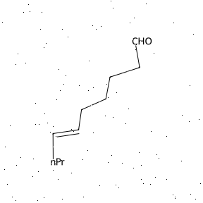 [CH2]CC/C=C/CCCCC=O